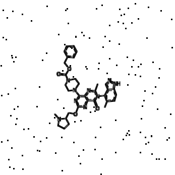 Cc1ccc2[nH]ncc2c1-n1c(C)nc2c(N3CCN(C(=O)OCc4ccccc4)CC3)nc(OCC3CCCN3C)nc2c1=O